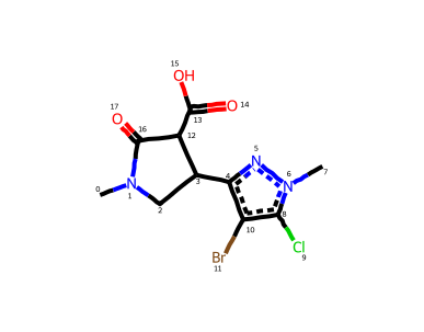 CN1CC(c2nn(C)c(Cl)c2Br)C(C(=O)O)C1=O